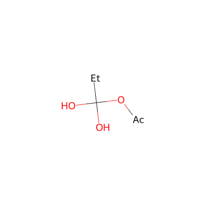 CCC(O)(O)OC(C)=O